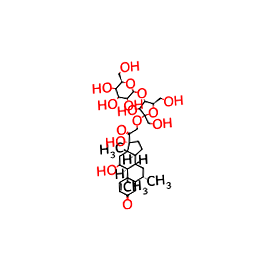 C[C@H]1C[C@@H]2[C@H]([C@@H](O)C[C@@]3(C)[C@H]2CC[C@]3(O)C(=O)COC2(CO)O[C@H](CO)[C@@H](O[C@@H]3O[C@H](CO)[C@H](O)[C@H](O)[C@H]3O)[C@@H]2O)[C@@]2(C)C=CC(=O)C=C12